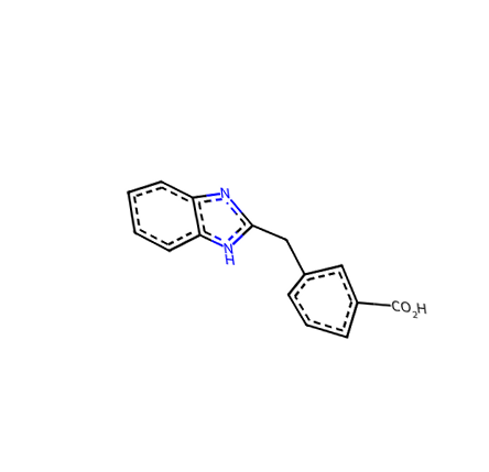 O=C(O)c1cccc(Cc2nc3ccccc3[nH]2)c1